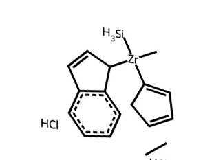 CC.Cl.Cl.[CH3][Zr]([SiH3])([C]1=CC=CC1)[CH]1C=Cc2ccccc21